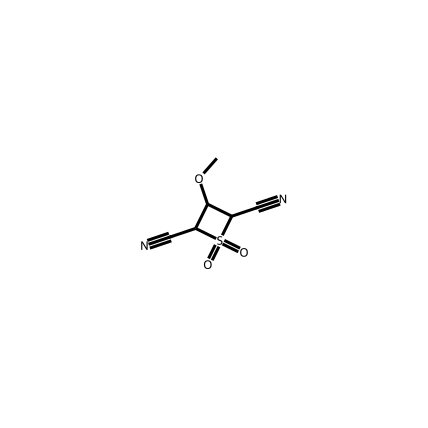 COC1C(C#N)S(=O)(=O)C1C#N